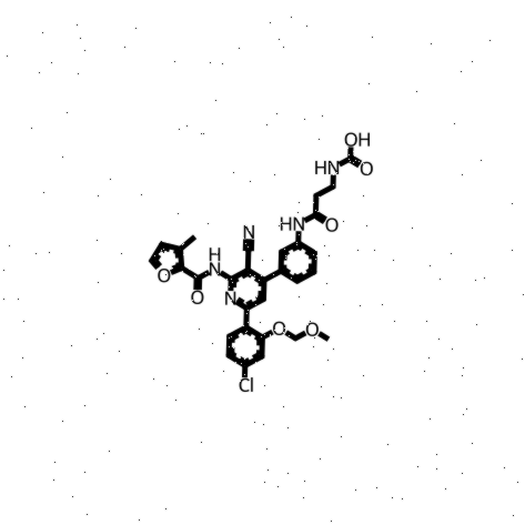 COCOc1cc(Cl)ccc1-c1cc(-c2cccc(NC(=O)CCNC(=O)O)c2)c(C#N)c(NC(=O)c2occc2C)n1